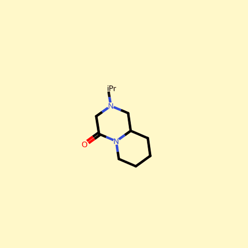 CC(C)N1CC(=O)N2CCCCC2C1